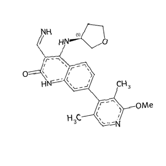 COc1ncc(C)c(-c2ccc3c(N[C@H]4CCOC4)c(C=N)c(=O)[nH]c3c2)c1C